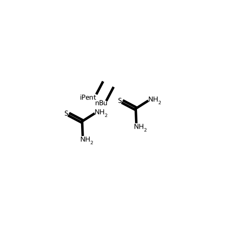 CCCC(C)C.CCCCC.NC(N)=S.NC(N)=S